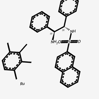 Cc1ccc(C)c(C)c1C.N[C@@H](c1ccccc1)[C@@H](NS(=O)(=O)c1ccc2ccccc2c1)c1ccccc1.[Ru]